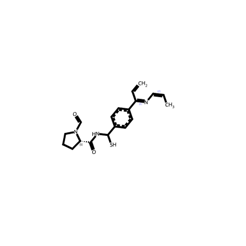 C=C/C(=N\C=C/C)c1ccc(C(S)NC(=O)[C@@H]2CCCN2C=O)cc1